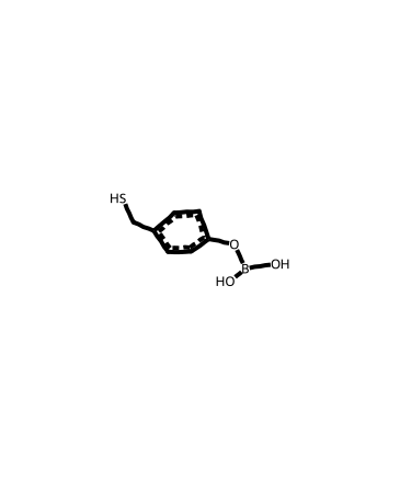 OB(O)Oc1ccc(CS)cc1